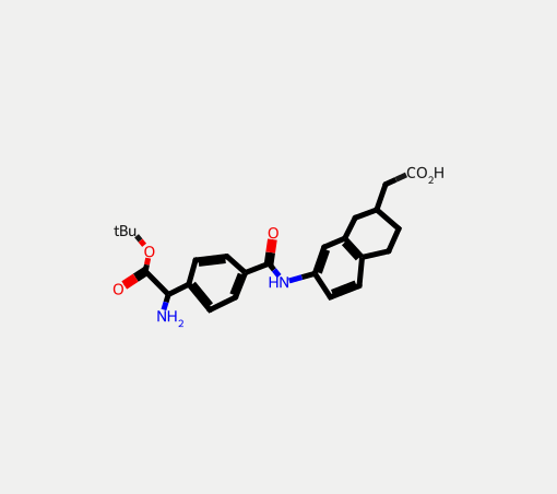 CC(C)(C)OC(=O)C(N)c1ccc(C(=O)Nc2ccc3c(c2)CC(CC(=O)O)CC3)cc1